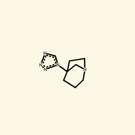 c1nnnn1C12CCCN(CC1)C2